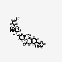 O=C(Nc1ccc(N2C(=O)Cc3cc(C4=NCCN4)ccc3C2=O)c(F)c1)NS(=O)(=O)c1ccc(Cl)s1